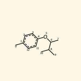 Cc1ccc(OC(C)C(C)C)cc1